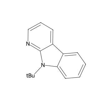 CC(C)(C)n1c2ccccc2c2cccnc21